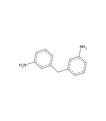 Nc1cccc([CH]c2cccc(N)c2)c1